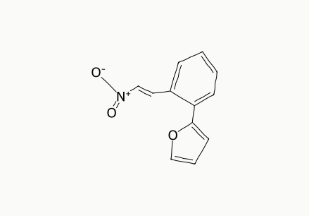 O=[N+]([O-])C=Cc1ccccc1-c1ccco1